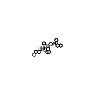 C1=CCCC(C2=NC(c3ccccc3N3C4=CC5=CC=CCC5C=C4C4C=C(n5c6ccccc6c6c7ccccc7ccc65)C=CC43)NC(C3=Cc4ccc5c(c4CC3)CCCC5)=N2)=C1